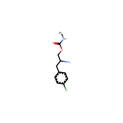 CC(C)NC(=O)OCC(N)Cc1ccc(Cl)cc1